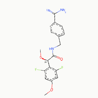 COc1cc(F)c([C@@H](OC)C(=O)NCc2ccc(C(=N)N)cc2)c(F)c1